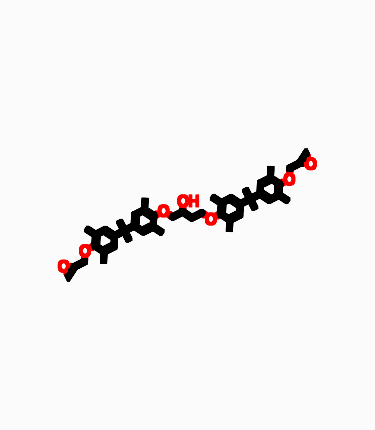 Cc1cc(C(C)(C)c2cc(C)c(OCC3CO3)c(C)c2)cc(C)c1OCCC(O)COc1c(C)cc(C(C)(C)c2cc(C)c(OCC3CO3)c(C)c2)cc1C